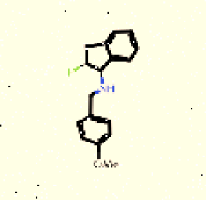 COc1ccc(CN[C@@H]2c3ccccc3C[C@@H]2F)cc1